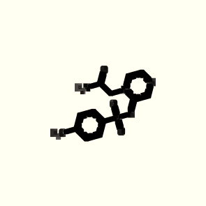 Cc1ccc(S(=O)(=O)N=c2cnccn2CC(N)=O)cc1